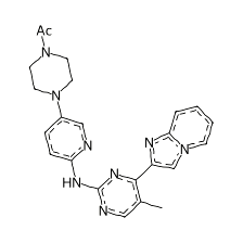 CC(=O)N1CCN(c2ccc(Nc3ncc(C)c(-c4cn5ccccc5n4)n3)nc2)CC1